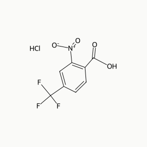 Cl.O=C(O)c1ccc(C(F)(F)F)cc1[N+](=O)[O-]